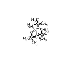 CCC[Si](O[Si](C)(C)C)(O[Si](C)(C)C)O[Si](C)(C)C